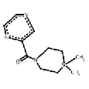 C[Si]1(C)CCN(C(=O)c2cnccn2)CC1